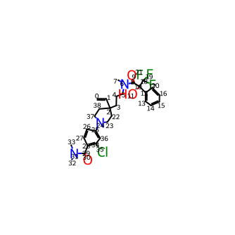 C=CC1(CCCN(C)C(=O)C(O)(c2ccccc2)C(F)(F)F)CCN(c2ccc(C(=O)N(C)C)c(Cl)c2)CC1